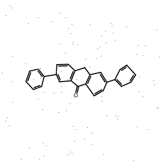 O=C1c2ccc(-c3ccccc3)cc2Cc2ccc(-c3ccccc3)cc21